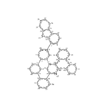 c1cc(-c2ccc(-c3cccc4c3sc3ccccc34)cc2)cc(-c2ccccc2-c2cnc3c4ccccc4c4ccccc4c3n2)c1